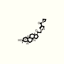 C[C@@]1(O)CC[C@@]2(F)[C@H](CC[C@H]3C4CC[C@H](C(=O)Cn5cc(C(=O)N6CCC6)cn5)[C@@]4(C)CC[C@@H]32)C1